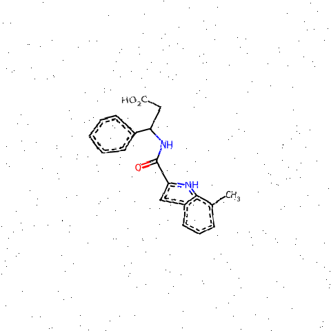 Cc1cccc2cc(C(=O)NC(CC(=O)O)c3ccccc3)[nH]c12